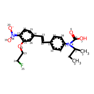 CCC(C)N(C(=O)O)c1ccc(C=Cc2ccc([N+](=O)[O-])c(OCCF)c2)cc1